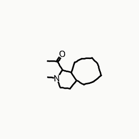 CC(=O)C1C2CCCCCCCC2CCN1C